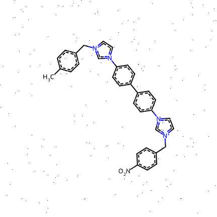 Cc1ccc(C[n+]2ccn(-c3ccc(-c4ccc(-n5cc[n+](Cc6ccc([N+](=O)[O-])cc6)c5)cc4)cc3)c2)cc1